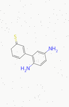 Nc1ccc(N)c(C2=CC(=S)CC=C2)c1